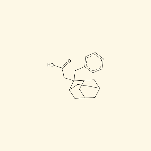 O=C(O)CC1(Cc2ccccc2)C2CC3CC(C2)CC1C3